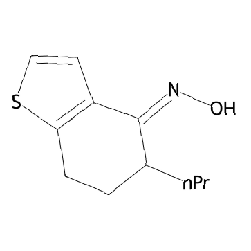 CCCC1CCc2sccc2C1=NO